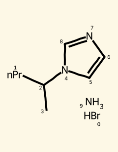 Br.CCCC(C)n1ccnc1.N